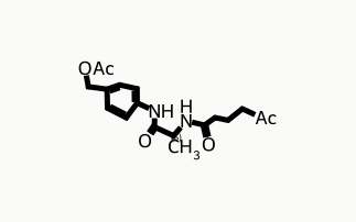 CC(=O)CCCC(=O)N[C@@H](C)C(=O)Nc1ccc(COC(C)=O)cc1